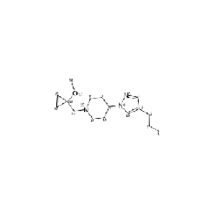 CCCc1cnn(C2CCN(CC3(OC)CC3)CC2)c1